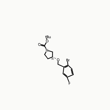 CC(C)(C)OC(=O)N1CC[C@@H](OCc2cc(F)ccc2Br)C1